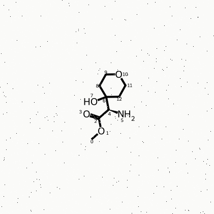 COC(=O)[C@H](N)C1(O)CCOCC1